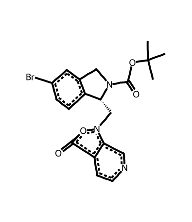 CC(C)(C)OC(=O)N1Cc2cc(Br)ccc2[C@H]1Cn1oc(=O)c2ccncc21